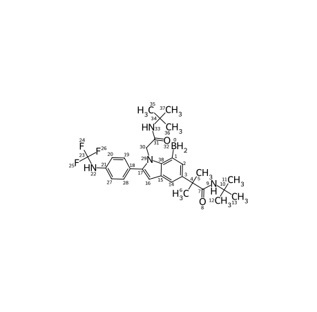 Bc1cc(C(C)(C)C(=O)NC(C)(C)C)cc2cc(-c3ccc(NC(F)(F)F)cc3)n(CC(=O)NC(C)(C)C)c12